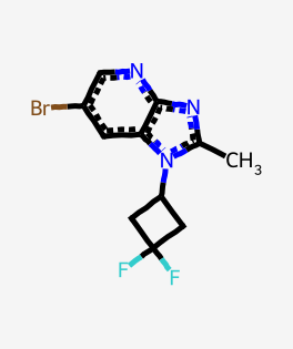 Cc1nc2ncc(Br)cc2n1C1CC(F)(F)C1